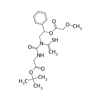 C=C(S)N(CC(OC(=O)COC)c1ccccc1)C(=O)NCC(=O)OC(C)(C)C